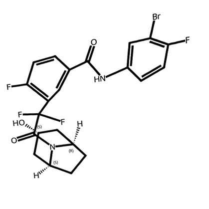 O=C(Nc1ccc(F)c(Br)c1)c1ccc(F)c(C(F)(F)C(=O)N2[C@@H]3CC[C@H]2C[C@H](O)C3)c1